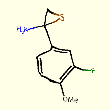 COc1ccc(C2(N)CS2)cc1F